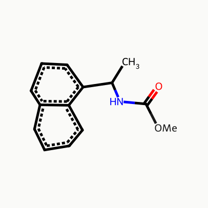 COC(=O)NC(C)c1cccc2ccccc12